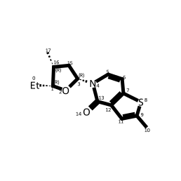 CC[C@H]1O[C@@H](n2ccc3sc(C)cc3c2=O)C[C@H]1C